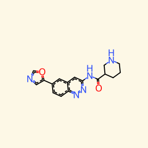 O=C(Nc1cc2cc(-c3cnco3)ccc2nn1)C1CCCNC1